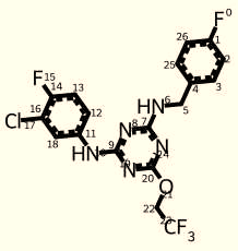 Fc1ccc(CNc2nc(Nc3ccc(F)c(Cl)c3)nc(OCC(F)(F)F)n2)cc1